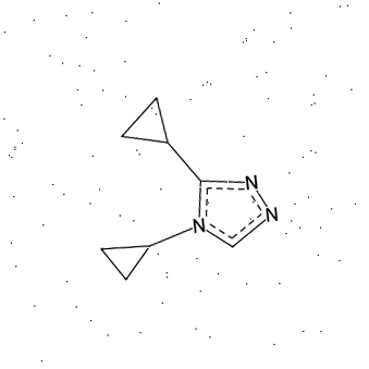 c1nnc(C2CC2)n1C1CC1